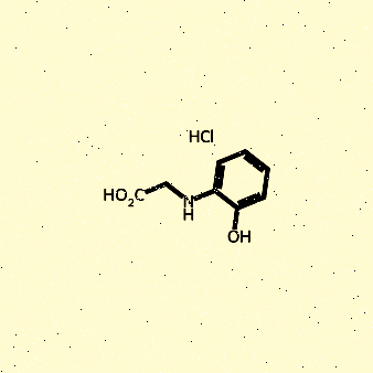 Cl.O=C(O)CNc1ccccc1O